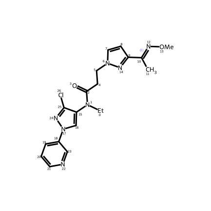 CCN(C(=O)CCn1ccc(/C(C)=N/OC)n1)c1cn(-c2cccnc2)nc1Cl